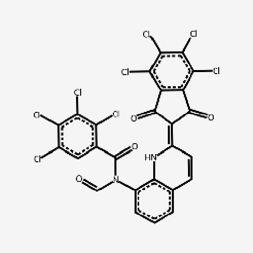 O=CN(C(=O)c1cc(Cl)c(Cl)c(Cl)c1Cl)c1cccc2c1NC(=C1C(=O)c3c(Cl)c(Cl)c(Cl)c(Cl)c3C1=O)C=C2